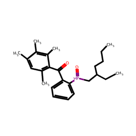 CCCCC(CC)C[PH](=O)c1ccccc1C(=O)c1c(C)cc(C)c(C)c1C